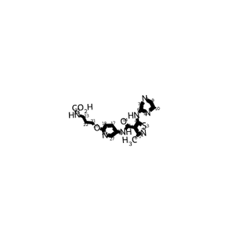 Cc1nsc(Nc2cnccn2)c1C(=O)Nc1ccc(OCCCNC(=O)O)nc1